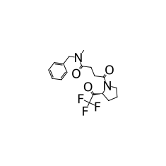 CN(Cc1ccccc1)C(=O)CCC(=O)N1CCC[C@H]1C(=O)C(F)(F)F